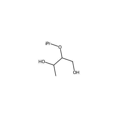 CC(C)OC(CO)C(C)O